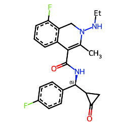 CCNN1Cc2c(F)cccc2C(C(=O)N[C@H](c2ccc(F)cc2)C2CC2=O)=C1C